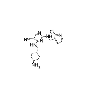 N#Cc1cnc(NCc2cccnc2Cl)nc1NC[C@H]1CC[C@H](N)CC1